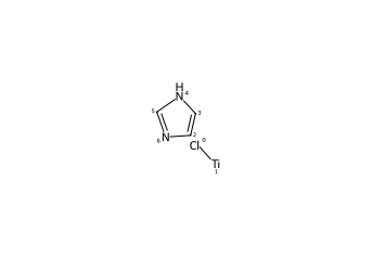 [Cl][Ti].c1c[nH]cn1